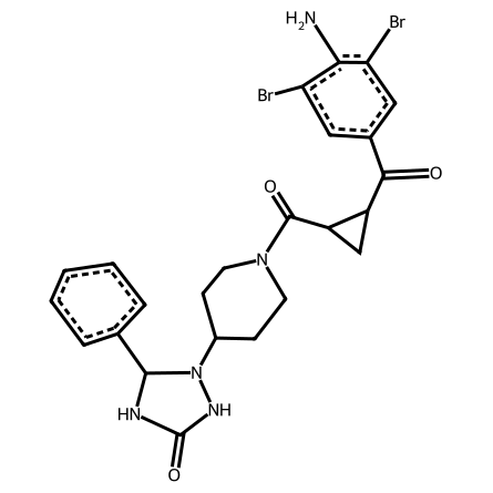 Nc1c(Br)cc(C(=O)C2CC2C(=O)N2CCC(N3NC(=O)NC3c3ccccc3)CC2)cc1Br